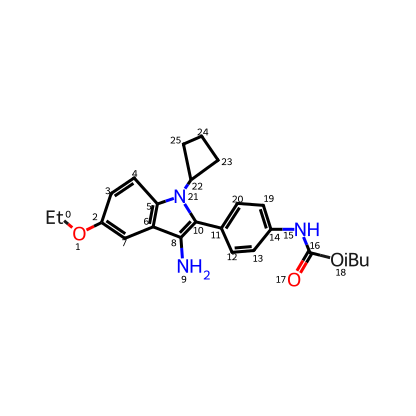 CCOc1ccc2c(c1)c(N)c(-c1ccc(NC(=O)OCC(C)C)cc1)n2C1CCC1